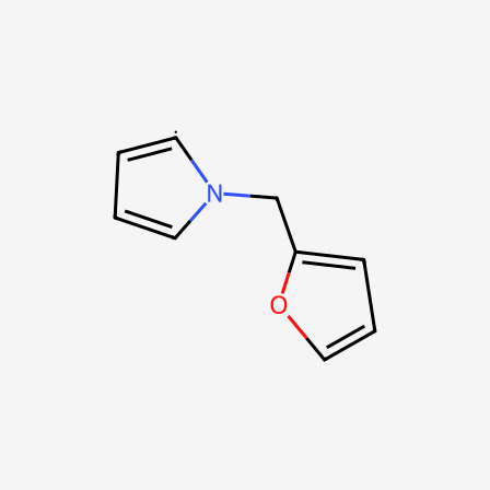 [c]1cccn1Cc1ccco1